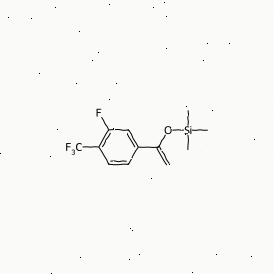 C=C(O[Si](C)(C)C)c1ccc(C(F)(F)F)c(F)c1